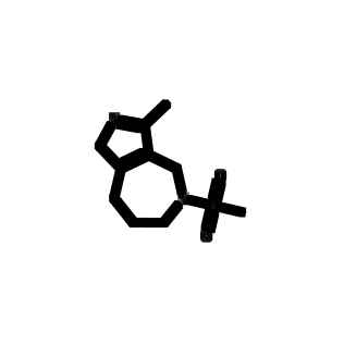 CC1=NCC2=C1CN(S(C)(=O)=O)CCC2